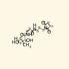 CC(C)(CO)[C@@H](O)C(=O)N/C=C\C(=O)NCCCN1C(=O)C=CC1=O